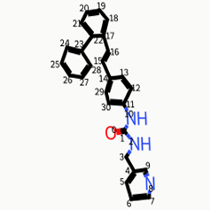 O=C(NCc1cccnc1)Nc1ccc(/C=C/c2ccccc2-c2ccccc2)cc1